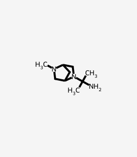 CN1CC2CC1CN2C(C)(C)N